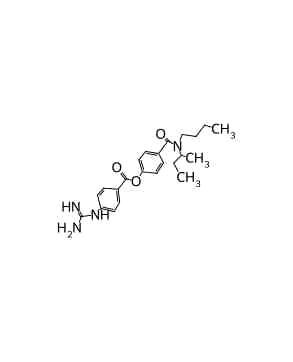 CCCCN(C(=O)c1ccc(OC(=O)c2ccc(NC(=N)N)cc2)cc1)C(C)CC